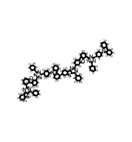 c1ccc(-c2nc(-c3ccc(-n4c5ccccc5c5ccccc54)cc3)nc(-c3cccc4c3oc3cc(-c5nc(-c6ccccc6)c6sc7cc(-c8cccc9c8c8ccccc8n9-c8ccc(-c9nc(-c%10ccccc%10)nc(-c%10cccc%11c%10oc%10cccc(-c%12nc(-c%13ccccc%13)c%13sc%14ccccc%14c%13n%12)c%10%11)n9)cc8)ccc7c6n5)ccc34)n2)cc1